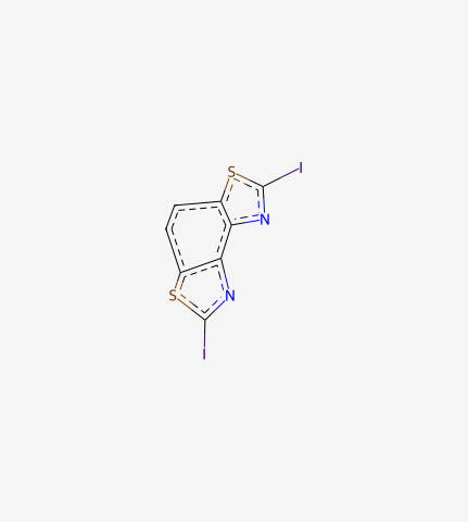 Ic1nc2c(ccc3sc(I)nc32)s1